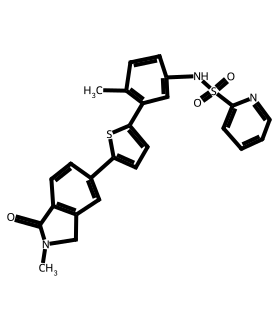 Cc1ccc(NS(=O)(=O)c2ccccn2)cc1-c1ccc(-c2ccc3c(c2)CN(C)C3=O)s1